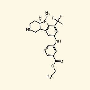 CCOC(=O)c1cncc(Nc2cc3c(c(C(F)(F)F)c2)N(C)[C@H]2CCNCC32)c1